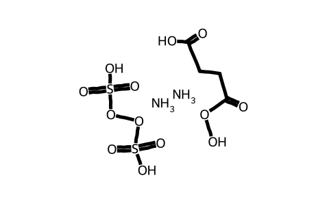 N.N.O=C(O)CCC(=O)OO.O=S(=O)(O)OOS(=O)(=O)O